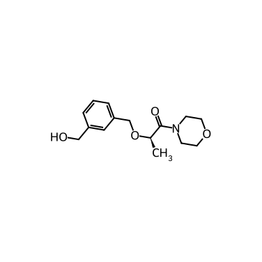 C[C@@H](OCc1cccc(CO)c1)C(=O)N1CCOCC1